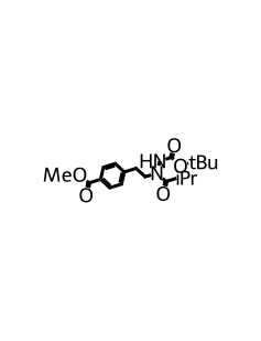 COC(=O)c1ccc(CCN(NC(=O)OC(C)(C)C)C(=O)C(C)C)cc1